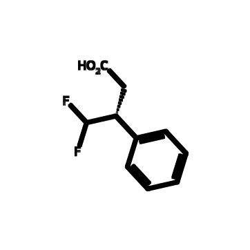 O=C(O)C[C@H](c1ccccc1)C(F)F